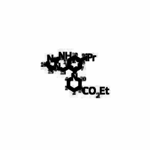 CCOC(=O)[C@@H]1CCCN(c2cc(C(C)C)ccc2Cn2ccnc2N)C1